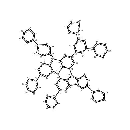 c1ccc(-c2ccc3c(c2)c2cc(-c4ccccc4)cc4c2n3-c2cc(-c3nc(-c5ccccc5)cc(-c5ccccc5)n3)cc3c2B4c2cc(-c4ccccc4)cc4c5cc(-c6ccccc6)ccc5n-3c24)cc1